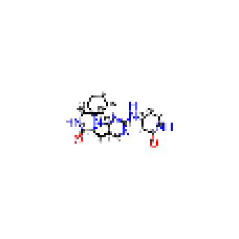 O=C1CC(Nc2ncc3cc4n(c3n2)C2(CCCCC2)CNC4=O)CCN1